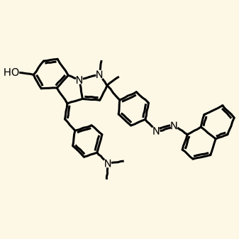 CN(C)c1ccc(/C=c2\c3n(c4ccc(O)cc24)N(C)C(C)(c2ccc(/N=N/c4cccc5ccccc45)cc2)C=3)cc1